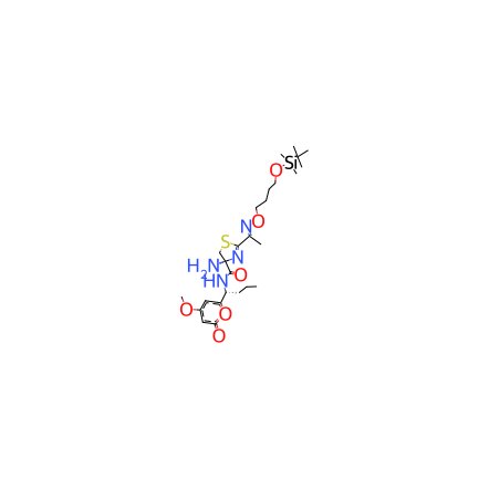 CCC[C@@H](NC(=O)[C@]1(N)CSC(/C(C)=N/OCCCCO[Si](C)(C)C(C)(C)C)=N1)c1cc(OC)cc(=O)o1